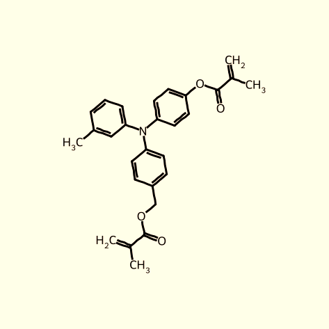 C=C(C)C(=O)OCc1ccc(N(c2ccc(OC(=O)C(=C)C)cc2)c2cccc(C)c2)cc1